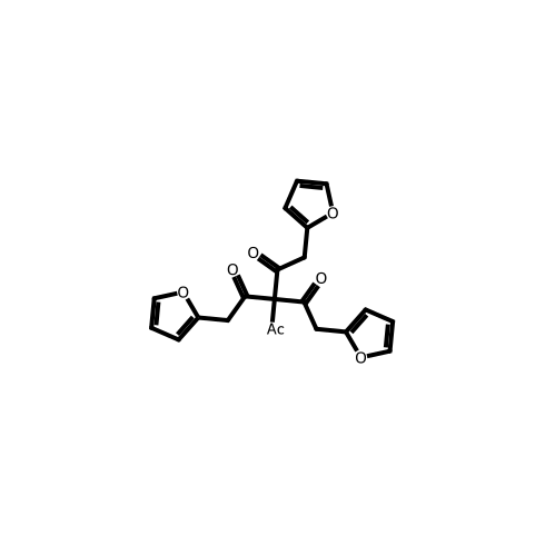 CC(=O)C(C(=O)Cc1ccco1)(C(=O)Cc1ccco1)C(=O)Cc1ccco1